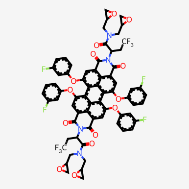 O=C(C(CC(F)(F)F)N1C(=O)c2cc(Oc3cccc(F)c3)c3c4c(Oc5cccc(F)c5)cc5c6c(cc(Oc7cccc(F)c7)c(c7c(Oc8cccc(F)c8)cc(c2c37)C1=O)c64)C(=O)N(C(CC(F)(F)F)C(=O)N(CC1CO1)CC1CO1)C5=O)N(CC1CO1)CC1CO1